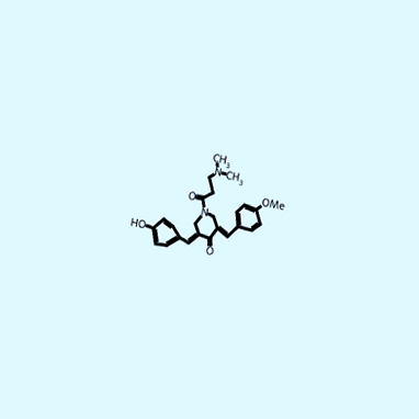 COc1ccc(/C=C2\CN(C(=O)CCN(C)C)C/C(=C\c3ccc(O)cc3)C2=O)cc1